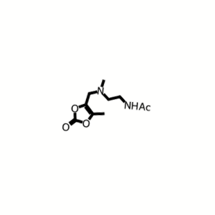 CC(=O)NCCN(C)Cc1oc(=O)oc1C